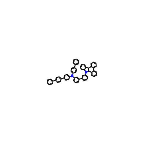 c1ccc(-c2ccc(-c3ccc(N(c4ccc(-c5ccccc5)cc4)c4cccc(-c5cccc(-n6c7ccccc7c7c8ccccc8c8ccccc8c76)c5)c4)cc3)cc2)cc1